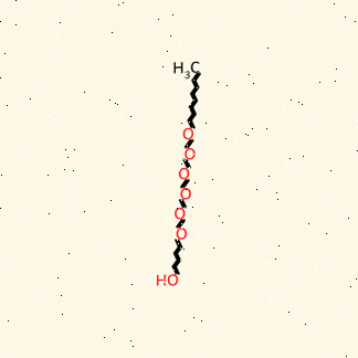 CCCCCCCCCCOCCOCCOCCOCCOCCOCCCCCCO